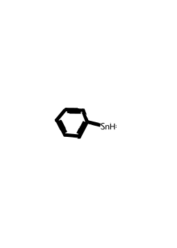 [SnH][c]1ccccc1